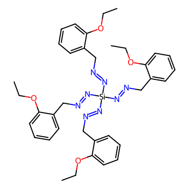 CCOc1ccccc1CN=N[Si](N=NCc1ccccc1OCC)(N=NCc1ccccc1OCC)N=NCc1ccccc1OCC